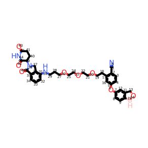 N#Cc1ccc(Oc2ccc3c(c2)COB3)cc1CCOCCOCCOCCCNc1cccc2c1CN(C1CCC(=O)NC1=O)C2=O